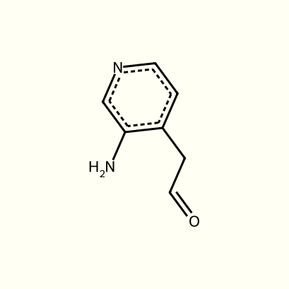 Nc1cnccc1CC=O